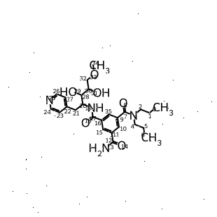 CCCN(CCC)C(=O)c1cc(C(N)=O)cc(C(=O)NC(Cc2ccncc2)C(O)C(O)COC)c1